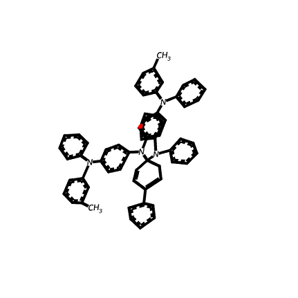 Cc1cccc(N(c2ccccc2)c2ccc(N(c3ccc(N(c4ccccc4)c4cccc(C)c4)cc3)C3(N(c4ccccc4)c4ccccc4)C=CC(c4ccccc4)=CC3)cc2)c1